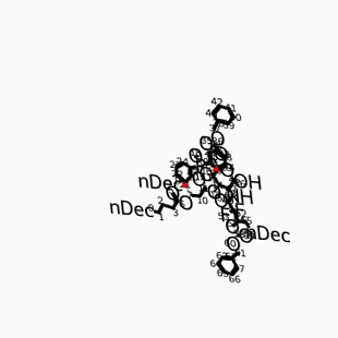 CCCCCCCCCCCCCC(=O)O[C@H](CCCCCCCCCCC)CC(=O)O[C@H]1[C@H](OP(=O)(c2ccccc2)c2ccccc2)[C@@H](COC(=O)OCc2ccccc2)OC(O)[C@@H]1NC(=O)C(F)(F)C(CCCCCCCCCCC)OC(=O)OCc1ccccc1